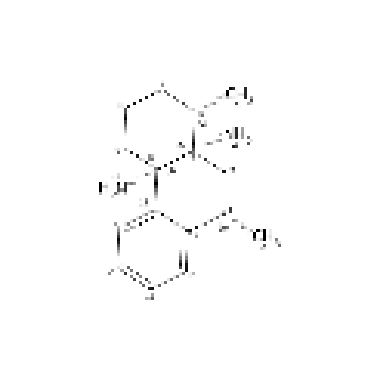 C[C@H]1C[C@]2(N)[C@@H](C)CCC[C@]2(N)c2ccccc21